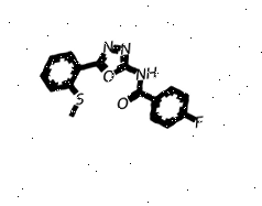 CSc1ccccc1-c1nnc(NC(=O)c2ccc(F)cc2)o1